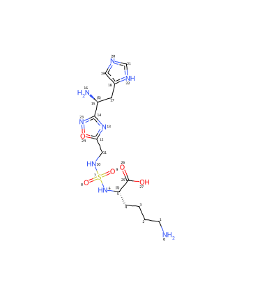 NCCCC[C@H](NS(=O)(=O)NCc1nc([C@@H](N)Cc2cnc[nH]2)no1)C(=O)O